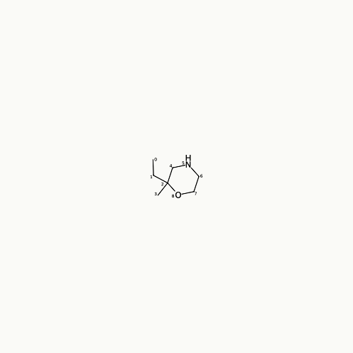 CCC1(C)CNCCO1